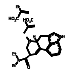 C=C(C)C(=O)O.C=C(CC)C(=O)O.CCN(CC)C(=O)[C@@H]1C=C2c3cccc4[nH]cc(c34)C[C@H]2N(C)C1